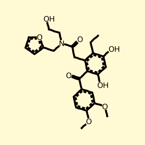 CCc1c(O)cc(O)c(C(=O)c2ccc(OC)c(OC)c2)c1CC(=O)N(CCO)Cc1ccco1